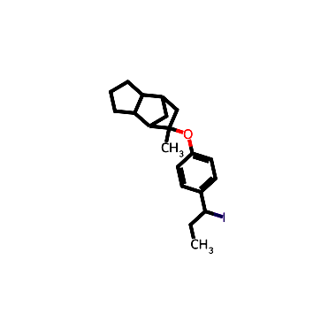 CCC(I)c1ccc(OC2(C)CC3CC2C2CCCC32)cc1